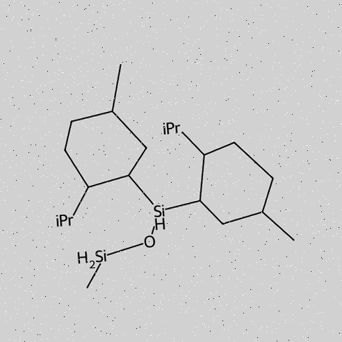 C[SiH2]O[SiH](C1CC(C)CCC1C(C)C)C1CC(C)CCC1C(C)C